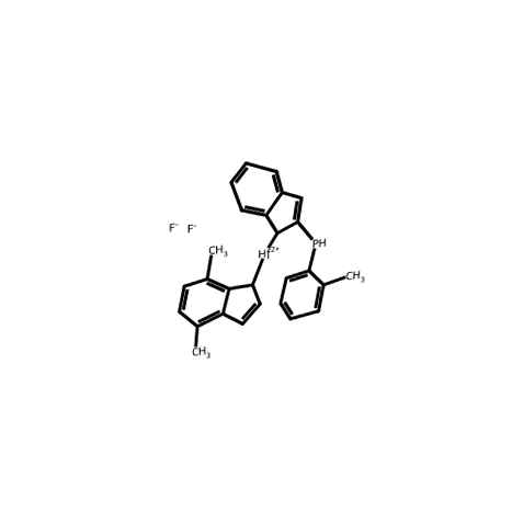 Cc1ccccc1PC1=Cc2ccccc2[CH]1[Hf+2][CH]1C=Cc2c(C)ccc(C)c21.[F-].[F-]